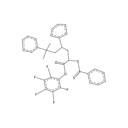 CC(C)(CC(CC(SC(=S)c1ccccc1)C(=O)Oc1c(F)c(F)c(F)c(F)c1F)c1ccccc1)c1ccccc1